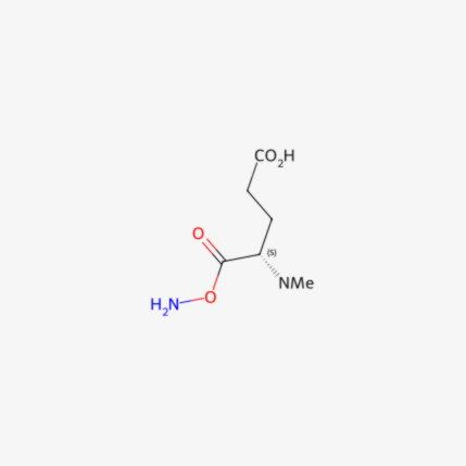 CN[C@@H](CCC(=O)O)C(=O)ON